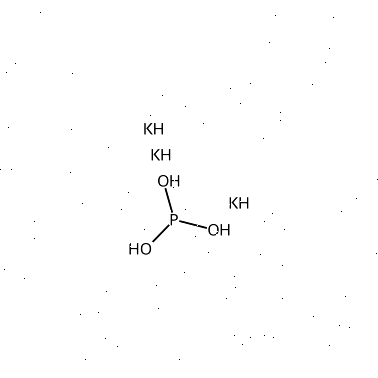 OP(O)O.[KH].[KH].[KH]